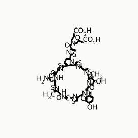 Cc1sc2nc1C(=O)NCc1nc(cs1)C(=O)N[C@@H](Cc1ccc(O)cc1)C(=O)N1C[C@H](O)[C@H](C)[C@H]1c1nc(cs1)-c1nc(cs1)-c1nc(-c3nc(C(=O)N(CCCC(=O)O)CC(=O)CC(=O)O)cs3)ccc1-c1nc(cs1)C(=O)N[C@H]2CC(N)=O